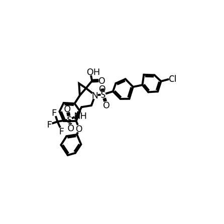 O=C(O)C1(N(CCNS(=O)(=O)C(F)(F)F)S(=O)(=O)c2ccc(-c3ccc(Cl)cc3)cc2)CC1c1cccc(Oc2ccccc2)c1